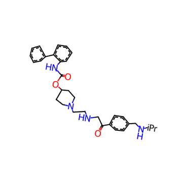 CC(C)NCc1ccc(C(=O)CNCCN2CCC(OC(=O)Nc3ccccc3-c3ccccc3)CC2)cc1